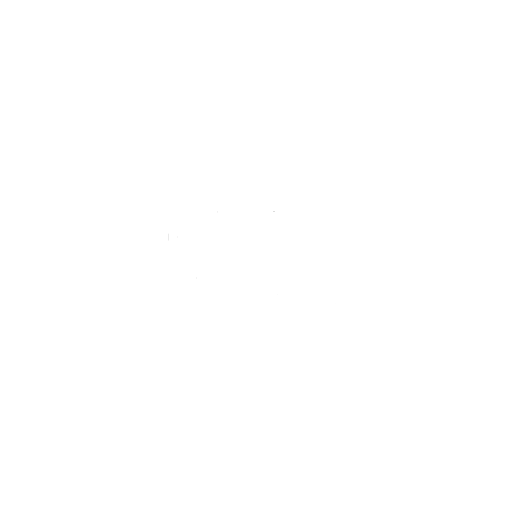 Br.O=S(=O)(O)c1ccc(CCl)cc1